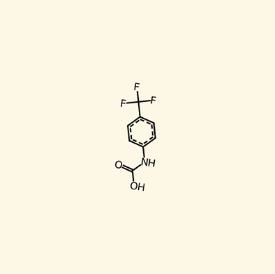 O=C(O)Nc1ccc(C(F)(F)F)cc1